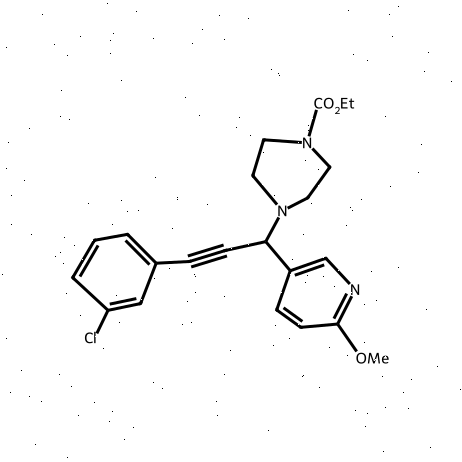 CCOC(=O)N1CCN(C(C#Cc2cccc(Cl)c2)c2ccc(OC)nc2)CC1